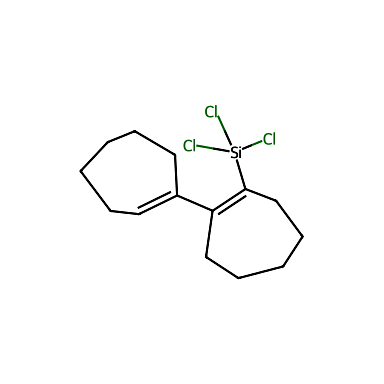 Cl[Si](Cl)(Cl)C1=C(C2=CCCCCC2)CCCCC1